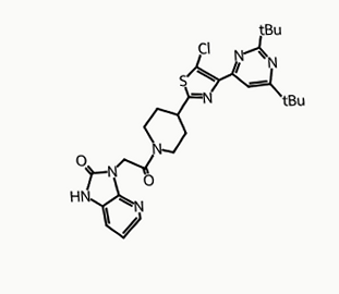 CC(C)(C)c1cc(-c2nc(C3CCN(C(=O)Cn4c(=O)[nH]c5cccnc54)CC3)sc2Cl)nc(C(C)(C)C)n1